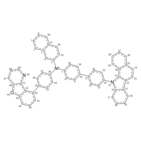 c1ccc2cc(N(c3ccc(-c4ccc(-n5c6ccccc6c6ccc7ccccc7c65)cc4)cc3)c3ccc(-c4cccc5oc6cccnc6c45)cc3)ccc2c1